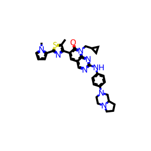 Cc1sc(-c2cccn2C)nc1-c1cc2cnc(Nc3ccc(N4CCN5CCCC5C4)cc3)nc2n(CC2CC2)c1=O